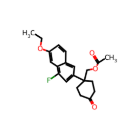 CCOc1ccc2cc(C3(COC(C)=O)CCC(=O)CC3)cc(F)c2c1